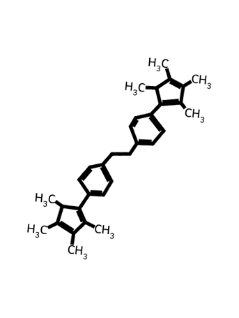 CC1=C(C)C(C)C(c2ccc(CCc3ccc(C4=C(C)C(C)=C(C)C4C)cc3)cc2)=C1C